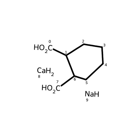 O=C(O)C1CCCCC1C(=O)O.[CaH2].[NaH]